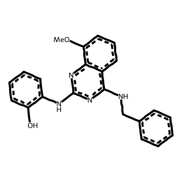 COc1cccc2c(NCc3ccccc3)nc(Nc3ccccc3O)nc12